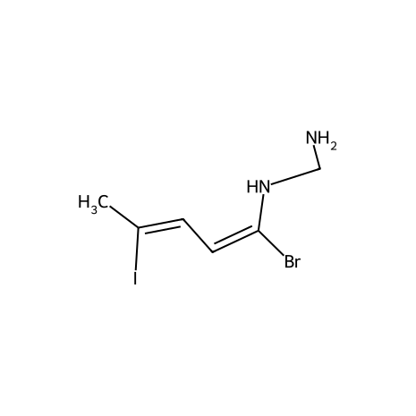 C/C(I)=C/C=C(/Br)NCN